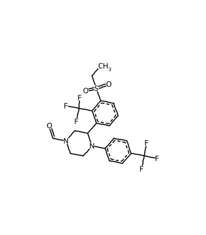 CCS(=O)(=O)c1cccc(C2CN(C=O)CCN2c2ccc(C(F)(F)F)cc2)c1C(F)(F)F